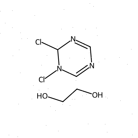 ClC1N=CN=CN1Cl.OCCO